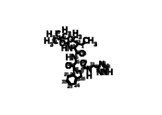 CC[C@H](C)[C@H](NC(=O)OC(C)(C)C)C(=O)NCC(=O)N1c2ccccc2C[C@H]1C(=O)NCc1nn[nH]n1